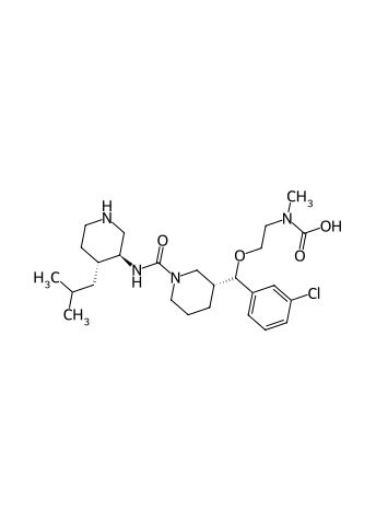 CC(C)C[C@@H]1CCNC[C@H]1NC(=O)N1CCC[C@@H](C(OCCN(C)C(=O)O)c2cccc(Cl)c2)C1